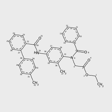 CCOC(=O)CN(C(=O)c1ccccc1)c1ccc(NC(=O)c2ccccc2-c2ccc(C)cc2)cc1C